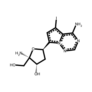 Nc1ncnn2c([C@H]3C[C@H](O)[C@@](N)(CO)O3)cc(I)c12